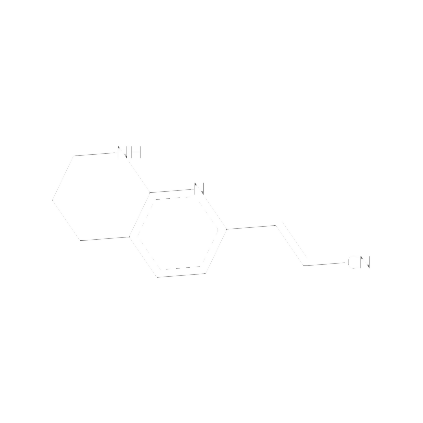 N#CC=Cc1ccc2c(n1)NCCC2